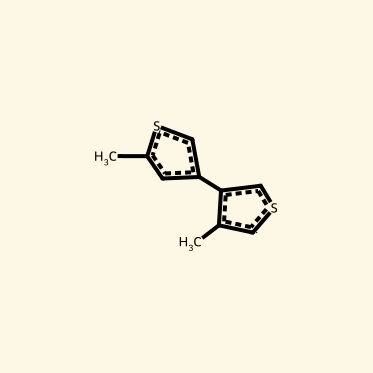 Cc1cc(-c2cs[c]c2C)cs1